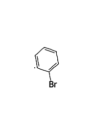 Brc1[c]cccc1